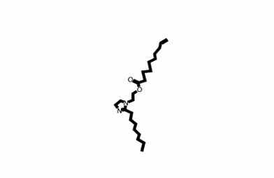 C=CCCCCCCCC(=O)OCCN1CCN=C1CCCCCCCC